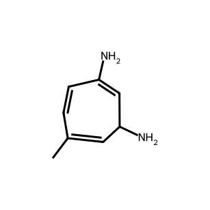 CC1=CC(N)C=C(N)C=C1